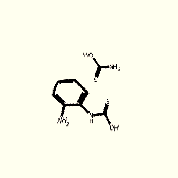 NC(O)=S.Nc1ccccc1NC(O)=S